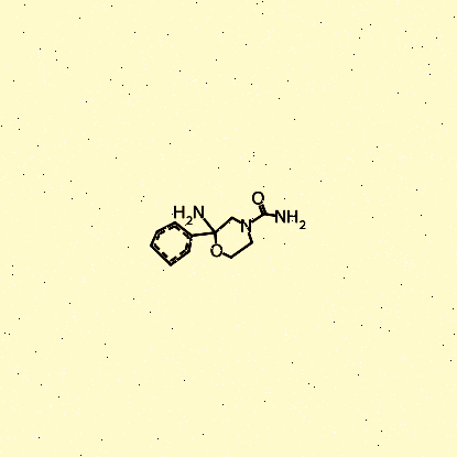 NC(=O)N1CCOC(N)(c2ccccc2)C1